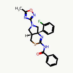 Cc1nc(N2C[C@H]3CSC(NC(=O)c4ccccc4)=N[C@@]3(c3ccccc3F)C2)no1